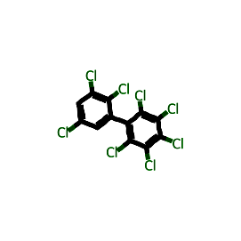 Clc1cc(Cl)c(Cl)c(-c2c(Cl)c(Cl)c(Cl)c(Cl)c2Cl)c1